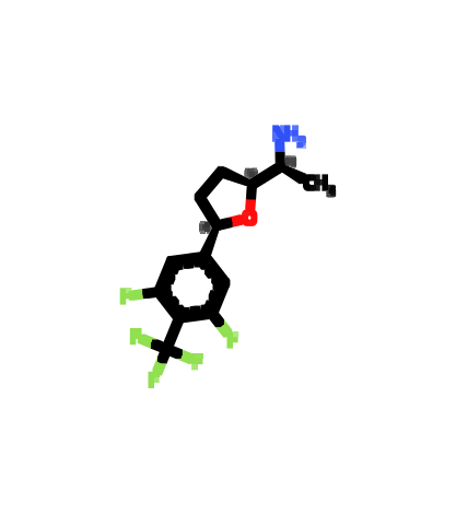 C[C@H](N)[C@@H]1CC[C@H](c2cc(F)c(C(F)(F)F)c(F)c2)O1